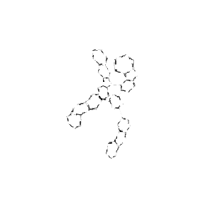 c1ccc2cc3c(cc2c1)c1ccccc1n3-c1c(-c2nc(-c3ccc4oc5ccccc5c4c3)nc(-c3ccc4oc5ccccc5c4c3)n2)ccc2oc3ccccc3c12